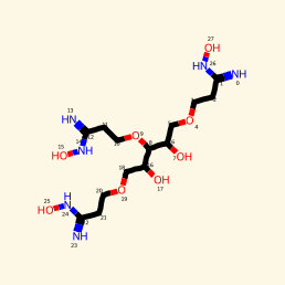 N=C(CCOCC(O)C(OCCC(=N)NO)C(O)COCCC(=N)NO)NO